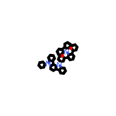 c1ccc(-c2cccc(-c3cccc(-n4c5ccccc5c5ccc6c(c7ccccc7n6-c6ccccc6)c54)c3)c2-n2c3ccccc3c3ccccc32)cc1